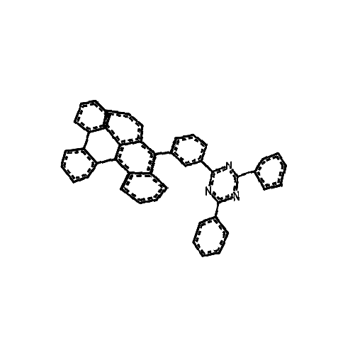 c1ccc(-c2nc(-c3ccccc3)nc(-c3cccc(-c4c5ccccc5c(-c5ccccc5-c5ccccc5)c5ccccc45)c3)n2)cc1